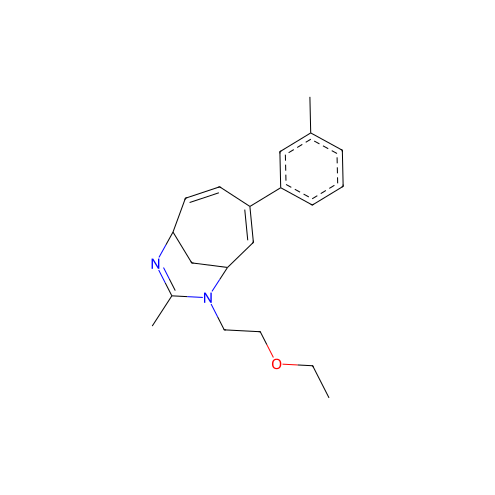 CCOCCN1C(C)=NC2C=CC(c3cccc(C)c3)=CC1C2